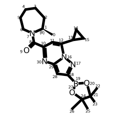 C[C@@H]1CCCCCN1C(=O)c1cc(C2CC2)n2nc(B3OC(C)(C)C(C)(C)O3)cc2n1